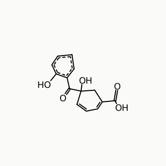 O=C(O)C1=CC=CC(O)(C(=O)c2ccccc2O)C1